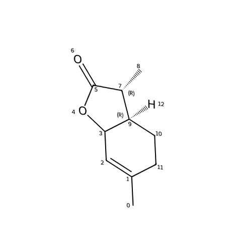 CC1=CC2OC(=O)[C@H](C)[C@H]2CC1